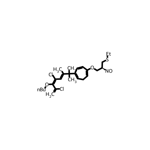 C=C(Cl)/C(OCCCC)=C(Cl)\C=C(/C)C(C)(C)C1=CCC=C(OC[C@@H](CSCC)N=O)C=C1